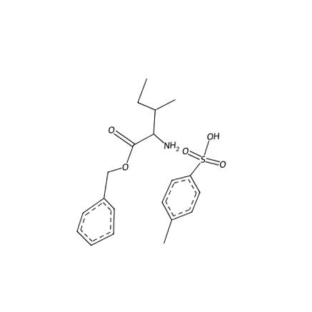 CCC(C)C(N)C(=O)OCc1ccccc1.Cc1ccc(S(=O)(=O)O)cc1